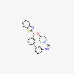 CN1CCC(OC(c2cccc(-c3cccc(N)c3)c2)c2nc3ccccc3s2)CC1